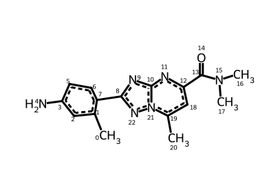 Cc1cc(N)ccc1-c1nc2nc(C(=O)N(C)C)cc(C)n2n1